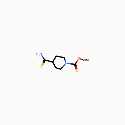 CCCCOC(=O)N1CCC(C(N)=S)CC1